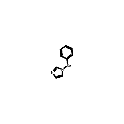 c1ccc([Se]n2ccnc2)cc1